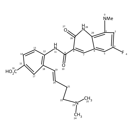 CNc1cc(F)cc2cc(C(=O)Nc3ccc(C(=O)O)cc3/C=C/CCN(C)C)c(=O)[nH]c12